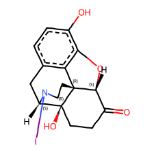 O=C1CC[C@]2(O)[C@@H]3Cc4ccc(O)c5c4[C@]2(CCN3I)[C@@H]1O5